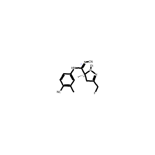 CCN1N=C(CF)C[C@@]1(C)/C(=N\C#N)Nc1ccc(C#N)c(C)c1